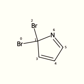 BrC1(Br)C=CC=N1